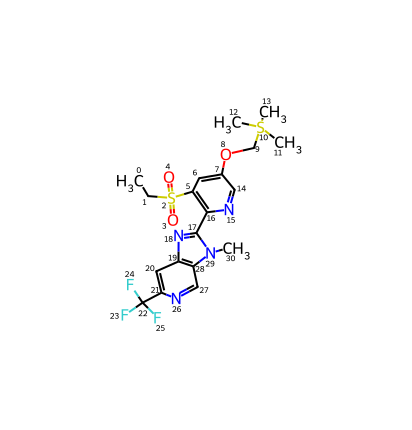 CCS(=O)(=O)c1cc(OCS(C)(C)C)cnc1-c1nc2cc(C(F)(F)F)ncc2n1C